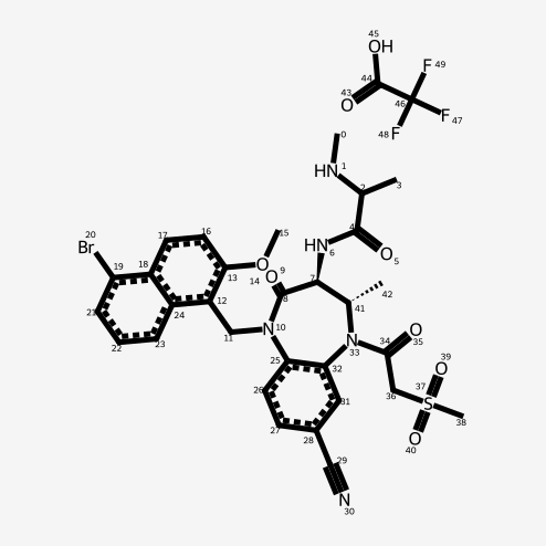 CNC(C)C(=O)N[C@@H]1C(=O)N(Cc2c(OC)ccc3c(Br)cccc23)c2ccc(C#N)cc2N(C(=O)CS(C)(=O)=O)[C@H]1C.O=C(O)C(F)(F)F